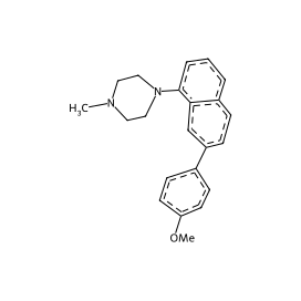 COc1ccc(-c2ccc3cccc(N4CCN(C)CC4)c3c2)cc1